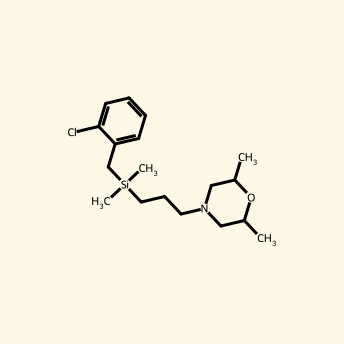 CC1CN(CCC[Si](C)(C)Cc2ccccc2Cl)CC(C)O1